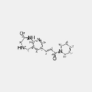 O=C1CNCc2cc(/C=C/C(=O)N3CC=CCC3)cnc2N1